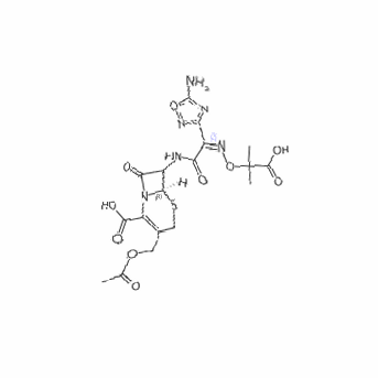 CC(=O)OCC1=C(C(=O)O)N2C(=O)C(NC(=O)/C(=N\OC(C)(C)C(=O)O)c3noc(N)n3)[C@H]2SC1